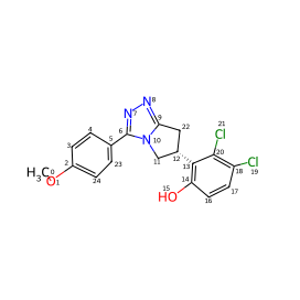 COc1ccc(-c2nnc3n2C[C@@H](c2c(O)ccc(Cl)c2Cl)C3)cc1